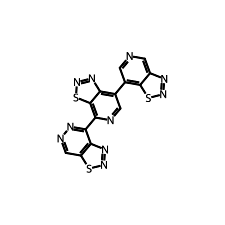 c1nc(-c2nncc3snnc23)c2snnc2c1-c1cncc2nnsc12